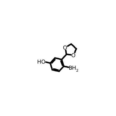 Bc1ccc(O)cc1C1OCCO1